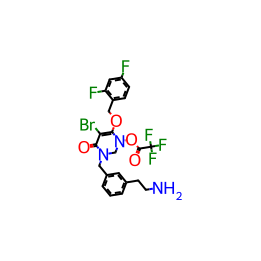 NCCc1cccc(CN2CN(OC(=O)C(F)(F)F)C(OCc3ccc(F)cc3F)=C(Br)C2=O)c1